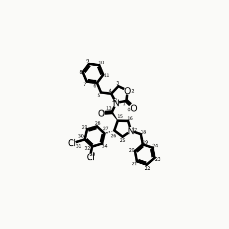 O=C1OCC(Cc2ccccc2)N1C(=O)[C@H]1CN(Cc2ccccc2)C[C@@H]1c1ccc(Cl)c(Cl)c1